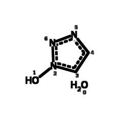 O.On1ccnn1